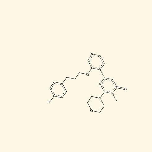 Cn1c(N2CCOCC2)nc(-c2ccncc2OCCCc2ccc(F)cc2)cc1=O